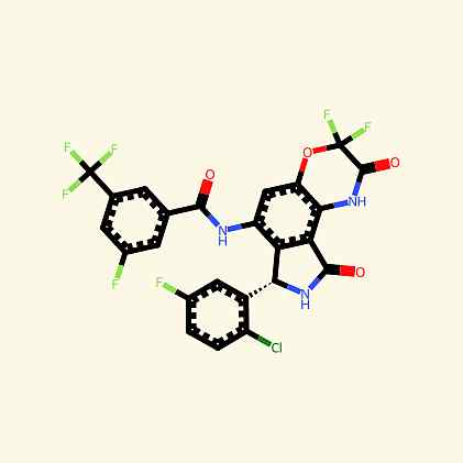 O=C(Nc1cc2c(c3c1[C@@H](c1cc(F)ccc1Cl)NC3=O)NC(=O)C(F)(F)O2)c1cc(F)cc(C(F)(F)F)c1